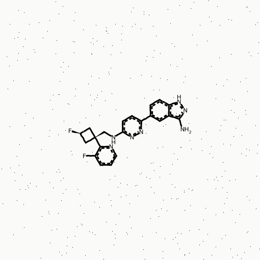 Nc1n[nH]c2ccc(-c3ccc(NC[C@]4(c5ncccc5F)C[C@H](F)C4)nn3)cc12